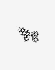 Cc1nc(CC(=O)NC2(c3ccccc3)CCOCC2)c(C2OCCO2)c(N[C@H](C)c2cccc(C(F)(F)F)c2C)n1